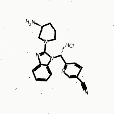 C[C@H](c1ccc(C#N)cn1)n1c(N2CCC[C@H](N)C2)nc2ccccc21.Cl